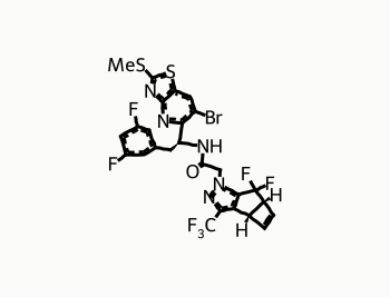 CSc1nc2nc([C@H](Cc3cc(F)cc(F)c3)NC(=O)Cn3nc(C(F)(F)F)c4c3C(F)(F)[C@@H]3C=C[C@H]43)c(Br)cc2s1